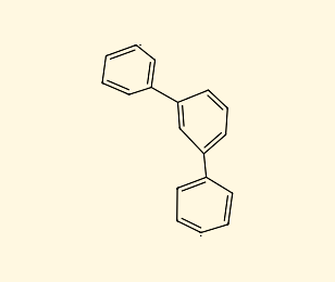 [c]1ccc(-c2cccc(-c3c[c]ccc3)c2)cc1